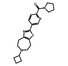 O=C(c1ccc(-c2nc3c(s2)CCN(C2CCC2)CC3)cn1)N1CCCC1